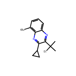 CCC(C)(C)c1nc2cccc(C(C)(C)C)c2nc1C1CC1